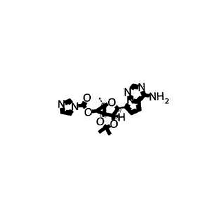 CC1(C)O[C@H]2[C@H](c3ccc4c(N)ncnn34)O[C@]3(C)C(OC(=O)n4ccnc4)[C@]23O1